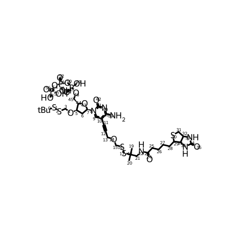 CC(C)(C)SSCO[C@@H]1C[C@H](n2cc(C#CCOCSSC(C)(C)CNC(=O)CCCCC3SCC4NC(=O)NC43)c(N)nc2=O)O[C@@H]1COP(=O)(O)OP(=O)(O)OP(=O)(O)O